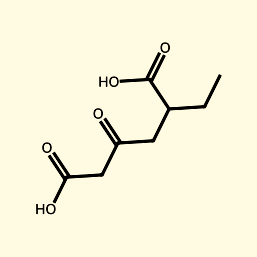 CCC(CC(=O)CC(=O)O)C(=O)O